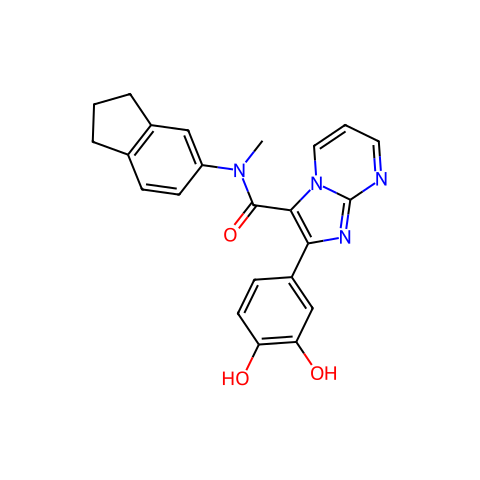 CN(C(=O)c1c(-c2ccc(O)c(O)c2)nc2ncccn12)c1ccc2c(c1)CCC2